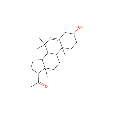 CC(=O)C1CCC2C3C(CCC12C)C1(C)CCC(O)CC1=CC3(C)C